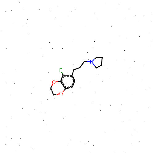 Fc1c(CCCN2CCCC2)ccc2c1OCCO2